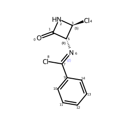 O=C1N[C@@H](Cl)[C@@H]1/N=C(\Cl)c1ccccc1